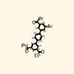 CCC(=O)c1cc(C(=O)C(C)C)cc(-c2ccc(-c3cc(C(C)=O)cc(C(=O)C(C)C)c3)cc2)c1